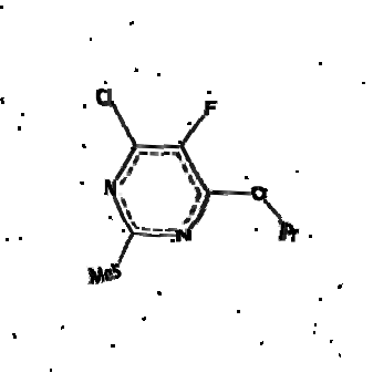 CSc1nc(Cl)c(F)c(OC(C)C)n1